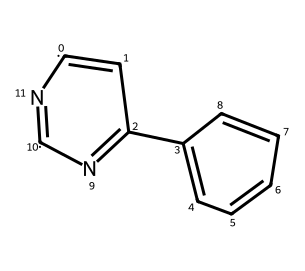 [c]1cc(-c2ccccc2)n[c]n1